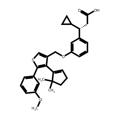 COc1cccc(-c2scc(COc3cccc([C@@H](CC(=O)O)C4CC4)c3)c2C2=CCCC2(C)C)c1